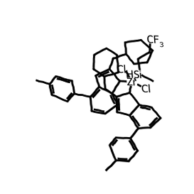 Cc1ccc(-c2cccc3c2C=C(CC2CCCCC2)[CH]3[Zr]([Cl])([Cl])([CH]2C(CC3CCCCC3)=Cc3c(-c4ccc(C)cc4)cccc32)[SiH](C)CCC(F)(F)F)cc1